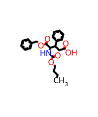 CCCCOC(=O)NC(C(=O)OCc1ccccc1)C(CC(=O)O)c1ccccc1